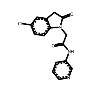 O=C(CN1C(=O)Cc2cc(Cl)ccc21)Nc1cccnc1